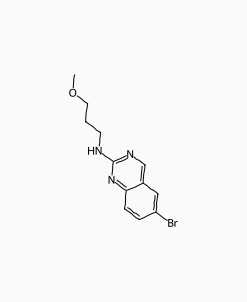 COCCCNc1ncc2cc(Br)ccc2n1